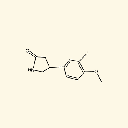 COc1ccc(C2CNC(=O)C2)cc1I